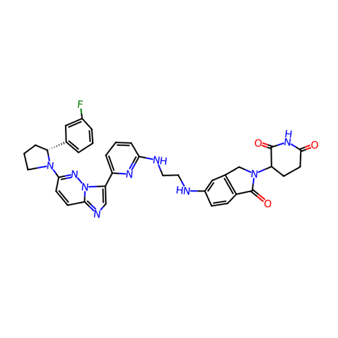 O=C1CCC(N2Cc3cc(NCCNc4cccc(-c5cnc6ccc(N7CCC[C@@H]7c7cccc(F)c7)nn56)n4)ccc3C2=O)C(=O)N1